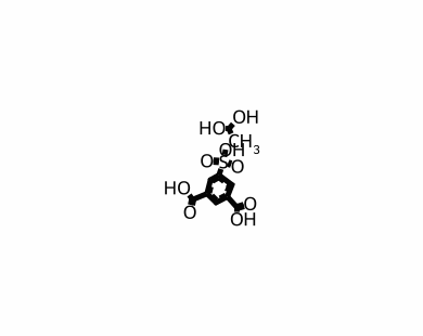 CC(O)O.O=C(O)c1cc(C(=O)O)cc(S(=O)(=O)O)c1